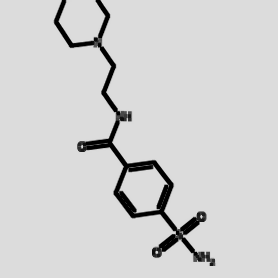 NS(=O)(=O)c1ccc(C(=O)NCCN2CCOCC2)cc1